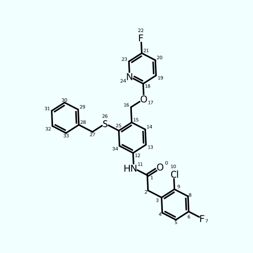 O=C(Cc1ccc(F)cc1Cl)Nc1ccc(COc2ccc(F)cn2)c(SCc2ccccc2)c1